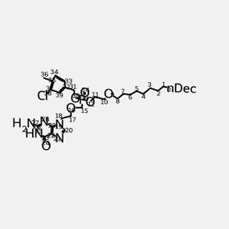 CCCCCCCCCCCCCCCCCCOCCOP(=O)(COCCn1cnc2c(=O)[nH]c(N)nc21)OCc1ccc(C)c(Cl)c1